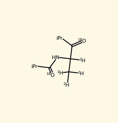 [2H]C([2H])([2H])C([2H])(NC(=[18O])C(C)C)C(=[18O])C(C)C